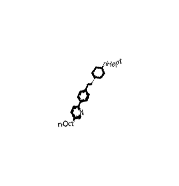 CCCCCCCCc1ccc(-c2ccc(CC[C@H]3CC[C@H](CCCCCCC)CC3)cc2)nc1